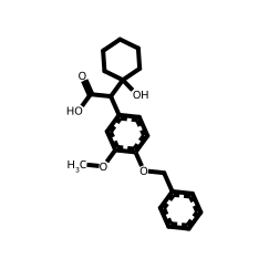 COc1cc(C(C(=O)O)C2(O)CCCCC2)ccc1OCc1ccccc1